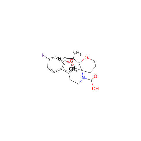 CC(C)(C)C1OCCCC12c1oc3cc(I)ccc3c1CCN2C(=O)O